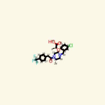 C[C@H](Oc1ccc(Cl)cc1CN1CCN(C(=O)Cc2ccc(C(F)(F)F)cc2)[C@@H](C)C1)C(=O)O